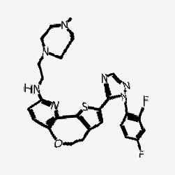 CN1CCN(CCNc2ccc3c(n2)-c2sc(-c4ncnn4-c4ccc(F)cc4F)cc2CCO3)CC1